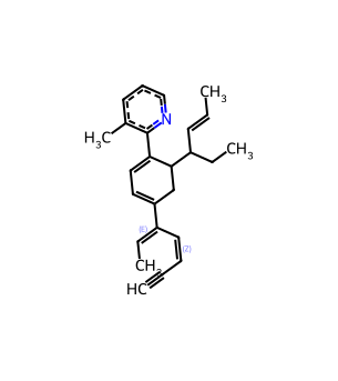 C#C/C=C\C(=C/C)C1=CC=C(c2ncccc2C)C(C(C=CC)CC)C1